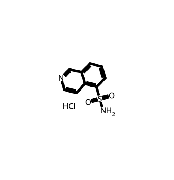 Cl.NS(=O)(=O)c1cccc2cnccc12